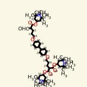 CN1C(C)(C)CC(OC(=O)C(C=O)CCCOc2ccc(-c3ccc(OCCCC(C(=O)OC4CC(C)(C)N(C)C(C)(C)C4)C(=O)OC4CC(C)(C)N(C)C(C)(C)C4)cc3)cc2)CC1(C)C